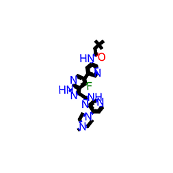 CN1CCN(c2ccnc3[nH]c(-c4n[nH]c5ncc(-c6cncc(NC(=O)CC(C)(C)C)c6)c(F)c45)nc23)CC1